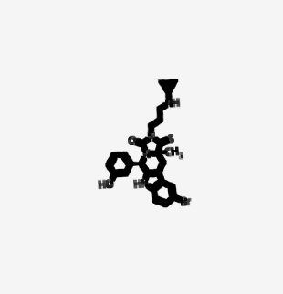 C[C@@]12Cc3c([nH]c4ccc(Br)cc34)[C@@H](c3cccc(O)c3)N1C(=O)N(CCCNC1CC1)C2=S